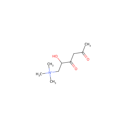 CC(=O)CC(=O)C(O)C[N+](C)(C)C